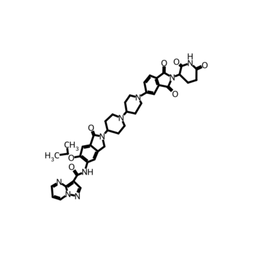 CC(C)Oc1cc2c(cc1NC(=O)c1cnn3cccnc13)CN(C1CCN(C3CCN(c4ccc5c(c4)C(=O)N(C4CCC(=O)NC4=O)C5=O)CC3)CC1)C2=O